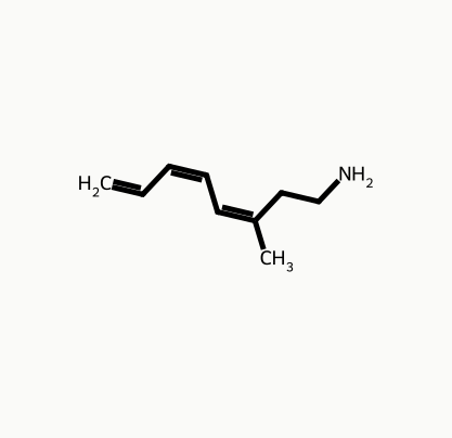 C=C/C=C\C=C(\C)CCN